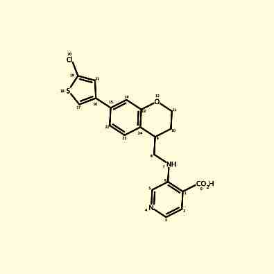 O=C(O)c1ccncc1NCC1CCOc2cc(-c3csc(Cl)c3)ccc21